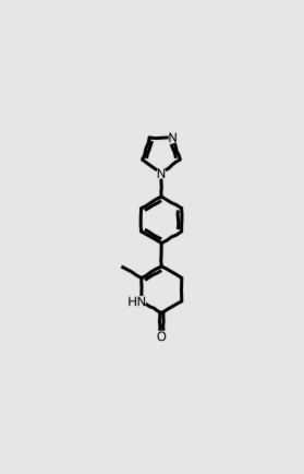 CC1=C(c2ccc(-n3ccnc3)cc2)CCC(=O)N1